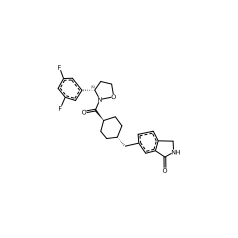 O=C1NCc2ccc(C[C@H]3CC[C@H](C(=O)N4OCC[C@H]4c4cc(F)cc(F)c4)CC3)cc21